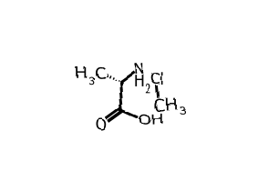 CCl.C[C@H](N)C(=O)O